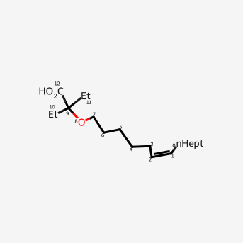 CCCCCCC/C=C\CCCCCOC(CC)(CC)C(=O)O